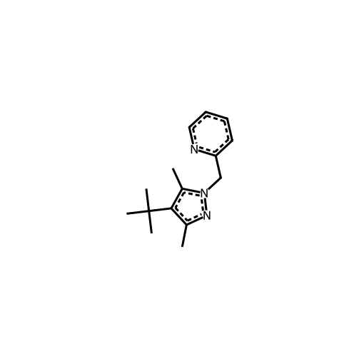 Cc1nn(Cc2ccccn2)c(C)c1C(C)(C)C